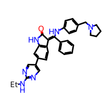 CCNc1ncc(-c2ccc3c(c2)NC(=O)/C3=C(\Nc2ccc(CN3CCCC3)cc2)c2ccccc2)cn1